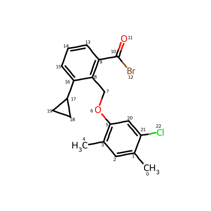 Cc1cc(C)c(OCc2c(C(=O)Br)cccc2C2CC2)cc1Cl